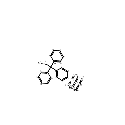 CCCCCC(c1ccccc1)(c1ccccc1)c1ccccc1.N=C=O.N=C=O.N=C=O